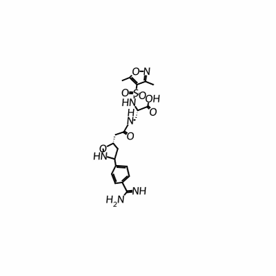 Cc1noc(C)c1S(=O)(=O)N[C@@H](CNC(=O)C[C@@H]1CC(c2ccc(C(=N)N)cc2)NO1)C(=O)O